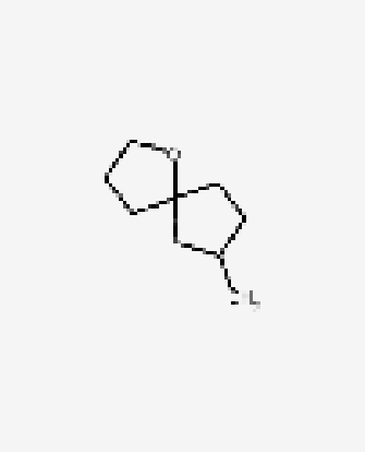 CC1CCC2(CCCO2)C1